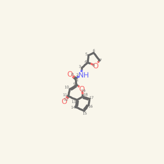 O=C(NCC1CCCO1)c1cc(=O)c2ccccc2o1